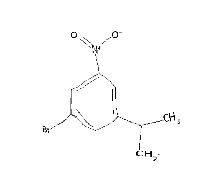 [CH2]C(C)c1cc(Br)cc([N+](=O)[O-])c1